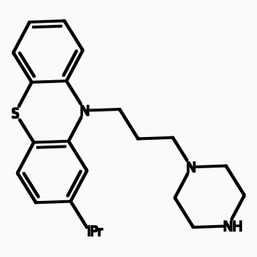 CC(C)c1ccc2c(c1)N(CCCN1CCNCC1)c1ccccc1S2